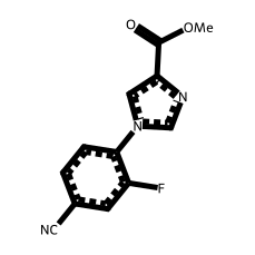 COC(=O)c1cn(-c2ccc(C#N)cc2F)cn1